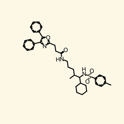 Cc1ccc(S(=O)(=O)NC(C(C)CCCNC(=O)CCc2nc(-c3ccccc3)c(-c3ccccc3)o2)C2CCCCC2)cc1